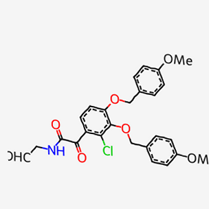 COc1ccc(COc2ccc(C(=O)C(=O)NCC=O)c(Cl)c2OCc2ccc(OC)cc2)cc1